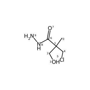 CC(CO)(CCl)C(=O)NN